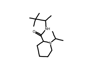 CC(C)N1CCCCC1C(=O)NC(C)C(C)(C)C